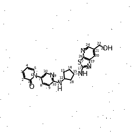 O=c1ccccn1-c1ccc(N[C@H]2CC[C@H](Nc3nc4cc(CO)cnc4s3)C2)nc1